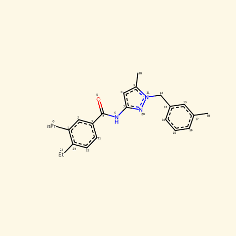 CCCc1cc(C(=O)Nc2cc(C)n(Cc3cccc(C)c3)n2)ccc1CC